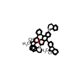 CC1(C)c2ccccc2-c2ccc(-c3ccccc3-c3c4ccc(N5CCCc6ccccc65)cc4c(-c4ccc5c(c4)C(C)(C)c4ccccc4-5)c4ccc(N5CCCc6ccccc65)cc34)cc21